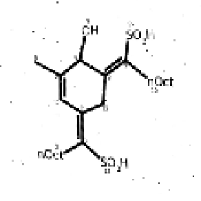 CCCCCCCCC(=C1C=C(C)C(O)C(=C(CCCCCCCC)S(=O)(=O)O)C1)S(=O)(=O)O